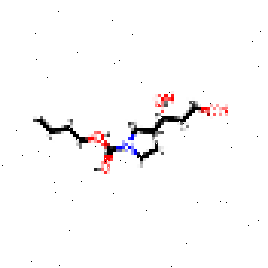 CCCCOC(=O)N1CC[C@H]([C@H](O)CCO)C1